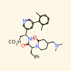 Cc1cccc(C)c1-c1cncc([C@H](CC(=O)O)NC(=O)[C@H](CC(C)C)N2CCC(CN(C)C)CC2=O)c1